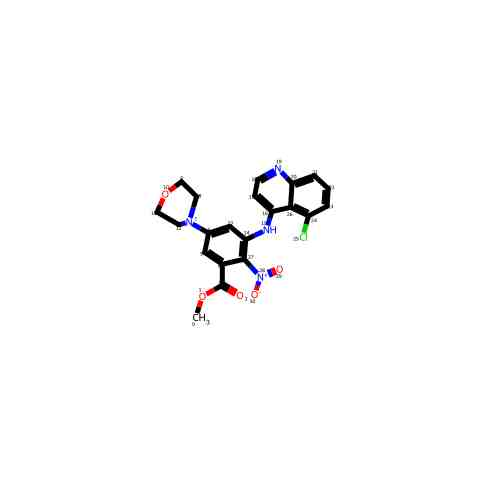 COC(=O)c1cc(N2CCOCC2)cc(Nc2ccnc3cccc(Cl)c23)c1[N+](=O)[O-]